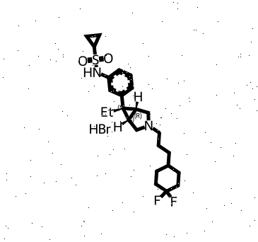 Br.CC[C@@]1(c2cccc(NS(=O)(=O)C3CC3)c2)[C@@H]2CN(CCCC3CCC(F)(F)CC3)C[C@@H]21